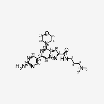 CN(C)CCCNC(=O)c1cc2c(N3CCOCC3)nc(-c3cnc(N)nc3)cn2n1